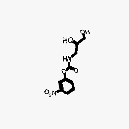 O=C(NCC(O)CO)Oc1cccc([N+](=O)[O-])c1